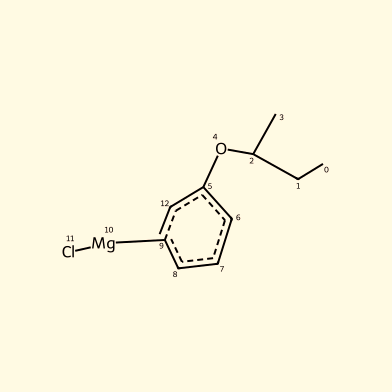 CCC(C)Oc1ccc[c]([Mg][Cl])c1